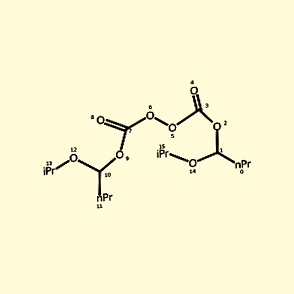 CCCC(OC(=O)OOC(=O)OC(CCC)OC(C)C)OC(C)C